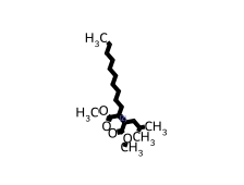 CCCCCCCCCC/C(C(=O)OC)=C(\CC(C)C)C(=O)OC